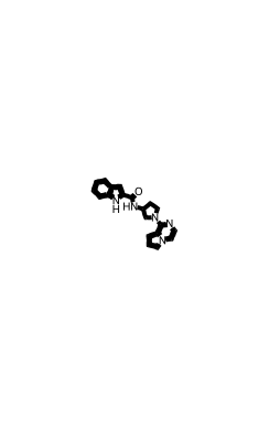 O=C(NC1CCN(c2nccn3cccc23)C1)c1cc2ccccc2[nH]1